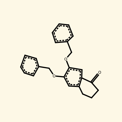 O=C1CCCc2cc(OCc3ccccc3)c(OCc3ccccc3)cc21